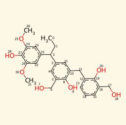 CCC(c1cc(CO)c(O)c(Cc2cccc(CO)c2O)c1)c1cc(OC)c(O)c(OC)c1